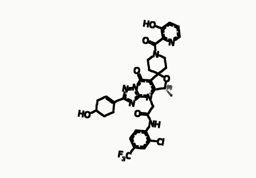 C[C@H]1OC2(CCN(C(=O)c3ncccc3O)CC2)c2c1n(CC(=O)Nc1ccc(C(F)(F)F)cc1Cl)c1nc(C3=CCC(O)CC3)nn1c2=O